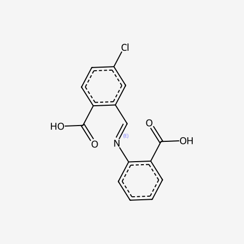 O=C(O)c1ccc(Cl)cc1/C=N/c1ccccc1C(=O)O